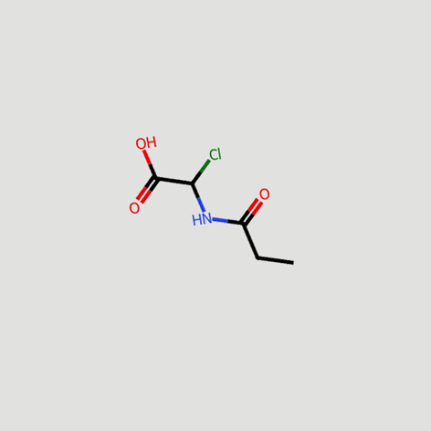 CCC(=O)NC(Cl)C(=O)O